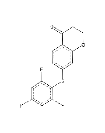 O=C1CCOc2cc(Sc3c(F)cc(F)cc3F)ccc21